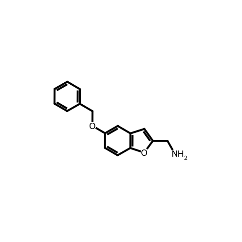 NCc1cc2cc(OCc3ccccc3)ccc2o1